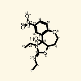 CC/N=C1\SC2CCOc3ccc([N+](=O)[O-])cc3C2(O)N1CC